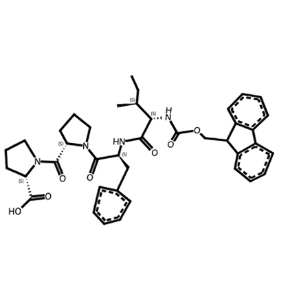 CC[C@H](C)[C@H](NC(=O)OCC1c2ccccc2-c2ccccc21)C(=O)N[C@@H](Cc1ccccc1)C(=O)N1CCC[C@H]1C(=O)N1CCC[C@H]1C(=O)O